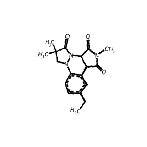 CCc1ccc2c(c1)C1C(=O)N(C)C(=O)C1N1C(=O)C(C)(C)CN21